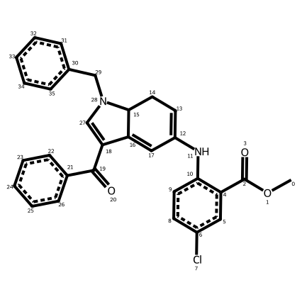 COC(=O)c1cc(Cl)ccc1NC1=CCC2C(=C1)C(C(=O)c1ccccc1)=CN2Cc1ccccc1